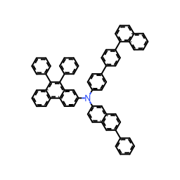 c1ccc(-c2ccc3cc(N(c4ccc(-c5ccc(-c6cccc7ccccc67)cc5)cc4)c4ccc5c(c4)c(-c4ccccc4)c(-c4ccccc4)c4ccccc45)ccc3c2)cc1